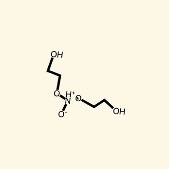 [O-][NH+](OCCO)OCCO